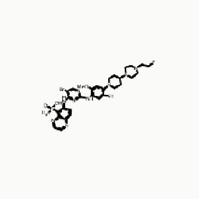 CCc1cc(Nc2ncc(Br)c(Nc3ccc4nccnc4c3P(C)(C)=O)n2)c(OC)cc1N1CCC(N2CCN(CCF)CC2)CC1